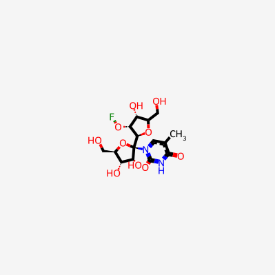 Cc1cn([C@]2([C@@H]3OC(CO)[C@@H](O)[C@H]3OF)O[C@H](CO)[C@@H](O)[C@H]2O)c(=O)[nH]c1=O